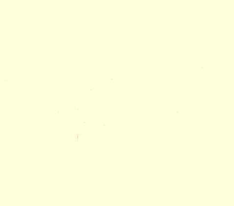 CC=CCOc1c(F)cc2cc(C3CCC4CC(CC)CCC4C3)ccc2c1F